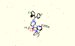 COc1ccc2c(n1)c(N1CCN(C(c3ccc(F)cc3)c3ccc(F)cc3)CC1)c(C)c(=O)n2C